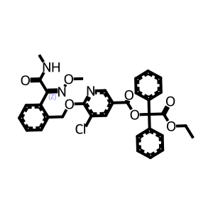 CCOC(=O)C(OC(=O)c1cnc(OCc2ccccc2/C(=N/OC)C(=O)NC)c(Cl)c1)(c1ccccc1)c1ccccc1